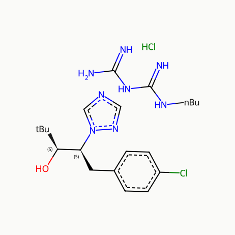 CC(C)(C)[C@H](O)[C@H](Cc1ccc(Cl)cc1)n1cncn1.CCCCNC(=N)NC(=N)N.Cl